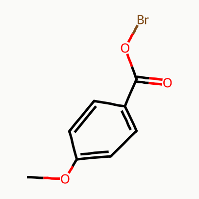 COc1ccc(C(=O)OBr)cc1